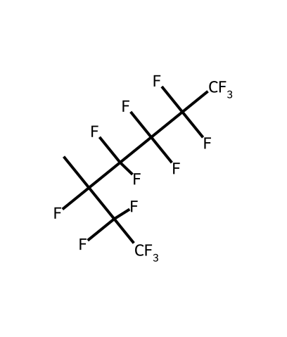 CC(F)(C(F)(F)C(F)(F)F)C(F)(F)C(F)(F)C(F)(F)C(F)(F)F